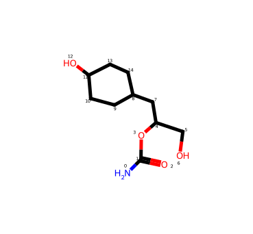 NC(=O)OC(CO)CC1CCC(O)CC1